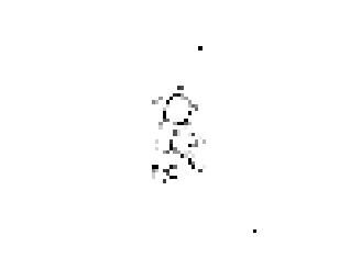 O=S(=O)(O[C@H]1CCOC1)C(F)(F)F